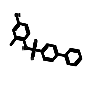 Cc1cc(O)ccc1NS(=O)(=O)c1ccc(-c2ccccc2)cc1